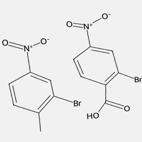 Cc1ccc([N+](=O)[O-])cc1Br.O=C(O)c1ccc([N+](=O)[O-])cc1Br